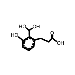 O=C(O)CCc1cccc(O)c1C(O)O